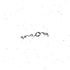 C=Cc1ccc(COCCN)cc1